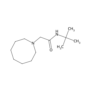 CC(C)(C)NC(=O)CN1CCCCCCC1